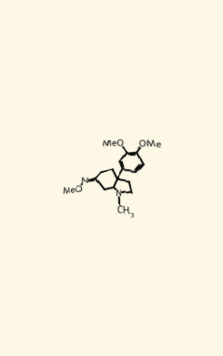 CO/N=C1/CCC2(c3ccc(OC)c(OC)c3)CCN(C)C2C1